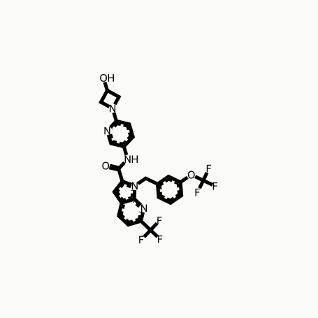 O=C(Nc1ccc(N2CC(O)C2)nc1)c1cc2ccc(C(F)(F)F)nc2n1Cc1cccc(OC(F)(F)F)c1